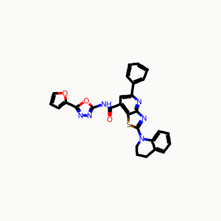 O=C(Nc1nnc(-c2ccco2)o1)c1cc(-c2ccccc2)nc2nc(N3CCCc4ccccc43)sc12